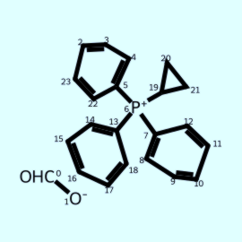 O=C[O-].c1ccc([P+](c2ccccc2)(c2ccccc2)C2CC2)cc1